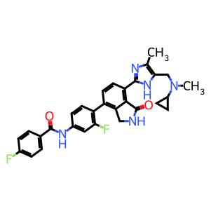 Cc1nc(-c2ccc(-c3ccc(NC(=O)c4ccc(F)cc4)cc3F)c3c2C(=O)NC3)[nH]c1CN(C)C1CC1